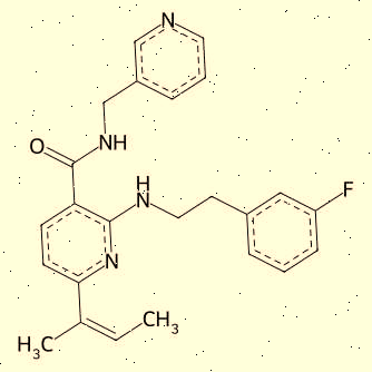 C/C=C(/C)c1ccc(C(=O)NCc2cccnc2)c(NCCc2cccc(F)c2)n1